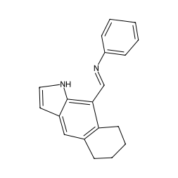 C(=N\c1ccccc1)/c1c2c(cc3cc[nH]c13)CCCC2